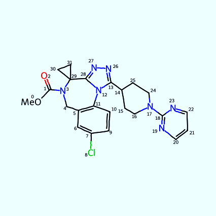 COC(=O)N1Cc2cc(Cl)ccc2-n2c(C3CCN(c4ncccn4)CC3)nnc2C12CC2